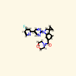 O=C(c1ccc2c(c1)N(c1ncc(-c3cc(F)ccn3)cn1)CC21CC1)N1CCOCC1